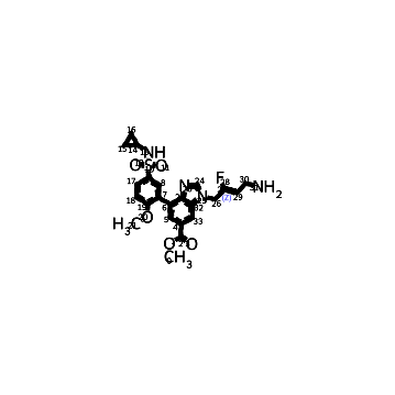 COC(=O)c1cc(-c2cc(S(=O)(=O)NC3CC3)ccc2OC)c2ncn(C/C(F)=C/CN)c2c1